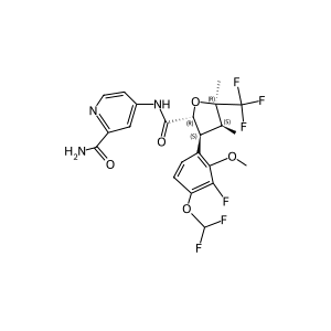 COc1c([C@H]2[C@H](C(=O)Nc3ccnc(C(N)=O)c3)O[C@@](C)(C(F)(F)F)[C@H]2C)ccc(OC(F)F)c1F